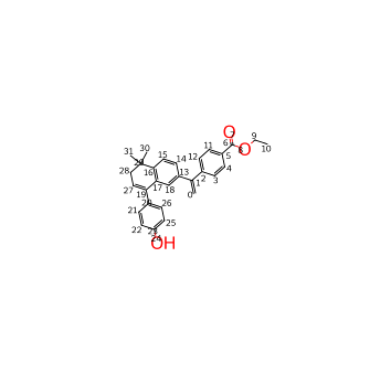 C=C(c1ccc(C(=O)OCC)cc1)c1ccc2c(c1)C(c1ccc(O)cc1)=CCC2(C)C